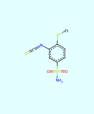 CCSc1ccc(S(N)(=O)=O)cc1N=C=S